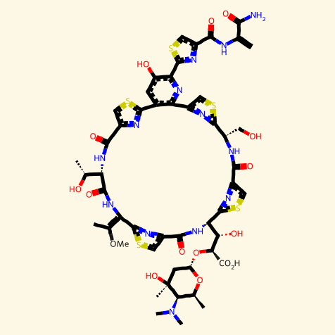 C=C(NC(=O)c1csc(-c2nc3c(cc2O)-c2nc(cs2)C(=O)N[C@@H]([C@@H](C)O)C(=O)N/C(=C(\C)OC)c2nc(cs2)C(=O)N[C@@H]([C@H](O)[C@H](O[C@H]2C[C@](C)(O)[C@H](N(C)C)[C@H](C)O2)C(=O)O)c2nc(cs2)C(=O)N[C@@H](CO)c2nc-3cs2)n1)C(N)=O